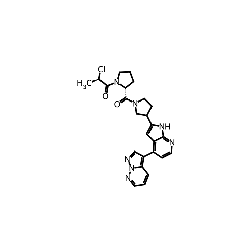 C[C@@H](Cl)C(=O)N1CCC[C@@H]1C(=O)N1CCC(c2cc3c(-c4cnn5ncccc45)ccnc3[nH]2)C1